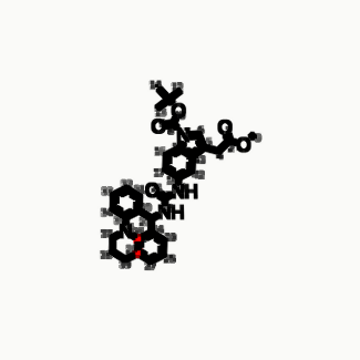 COC(=O)Cc1cn(C(=O)OC(C)(C)C)c2ccc(NC(=O)NC(c3ccccc3)c3ccccc3N3CCCCC3)cc12